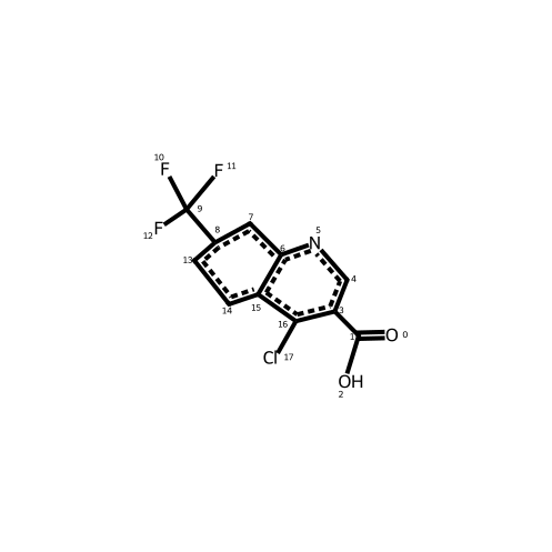 O=C(O)c1cnc2cc(C(F)(F)F)ccc2c1Cl